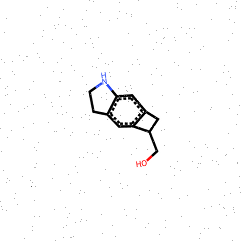 OCC1Cc2cc3c(cc21)CCN3